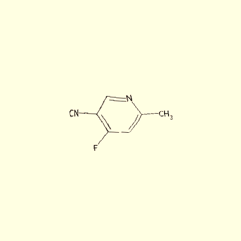 [C-]#[N+]c1cnc(C)cc1F